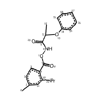 Cc1ccc(C(=O)ONC(=O)C(C)Oc2ccccc2)c(C(C)C)c1